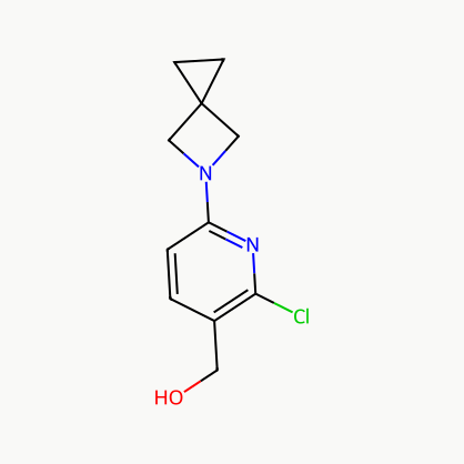 OCc1ccc(N2CC3(CC3)C2)nc1Cl